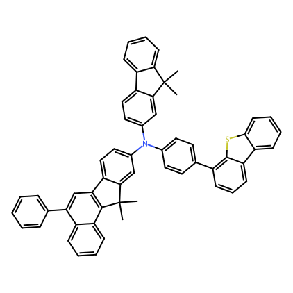 CC1(C)c2ccccc2-c2ccc(N(c3ccc(-c4cccc5c4sc4ccccc45)cc3)c3ccc4c(c3)C(C)(C)c3c-4cc(-c4ccccc4)c4ccccc34)cc21